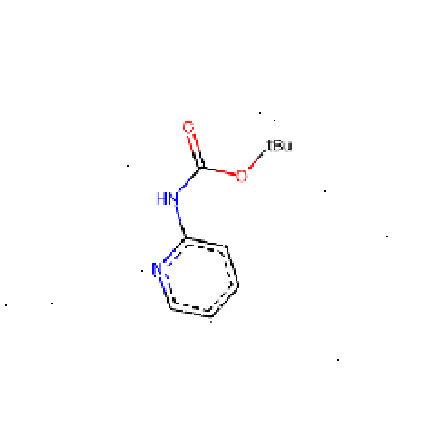 CC(C)(C)OC(=O)Nc1cc[c]cn1